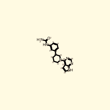 NC(=O)Nc1cccc(C2CCCN(c3ncnc4[nH]ccc34)C2)c1